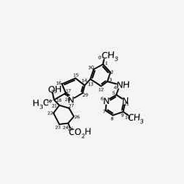 Cc1cc(Nc2nccc(C)n2)cc(-c2ccc([C@](C)(O)C3CCC(C(=O)O)CC3)nc2)c1